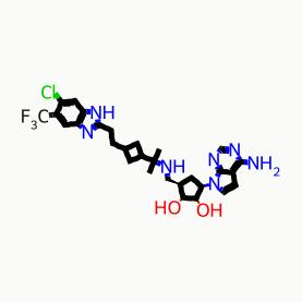 CC(C)(NC[C@H]1C[C@@H](n2ccc3c(N)ncnc32)[C@H](O)[C@@H]1O)C1CC(CCc2nc3cc(C(F)(F)F)c(Cl)cc3[nH]2)C1